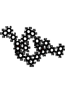 c1cc(-c2ccc(-c3cccc4ccccc34)cc2)cc(N(c2ccc(-c3cccc4ccccc34)cc2)c2ccccc2-c2cccc3sc4ccc(-c5ccc6c(-c7ccc(-c8ccc(N(c9ccc(-c%10cccc%11ccccc%10%11)cc9)c9ccccc9-c9cccc%10sc%11ccccc%11c9%10)cc8)cc7)cccc6c5)cc4c23)c1